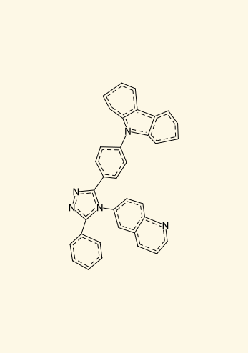 c1ccc(-c2nnc(-c3ccc(-n4c5ccccc5c5ccccc54)cc3)n2-c2ccc3ncccc3c2)cc1